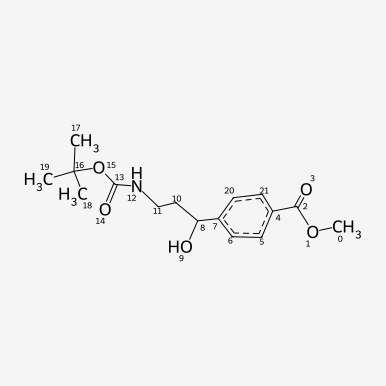 COC(=O)c1ccc(C(O)CCNC(=O)OC(C)(C)C)cc1